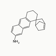 Nc1ccc2cc3c(cc2c1)C1(CCC3)CC2=CCC1C2